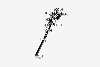 CC(=O)N[C@@H](Cc1c[nH]cn1)C(=O)N[C@@H](CCC(=O)O)C(=O)N[C@@H](CCC(=O)O)C(=O)N[C@@H](CO)C(=O)N[C@@H](CO)C(=O)N[C@@H](CCC(=O)O)C(=O)N[C@@H](CCCCNC(=O)COCCOCCNC(=O)CCCCCCCCCCCCCCCC(=O)O)C(N)=O